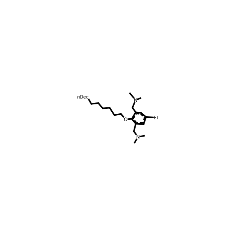 CCCCCCCCCCCCCCCCOc1c(CN(C)C)cc(CC)cc1CN(C)C